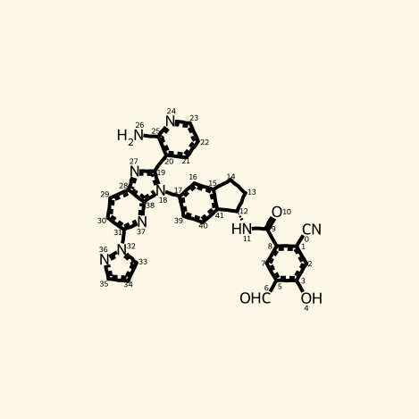 N#Cc1cc(O)c(C=O)cc1C(=O)N[C@H]1CCc2cc(-n3c(-c4cccnc4N)nc4ccc(-n5cccn5)nc43)ccc21